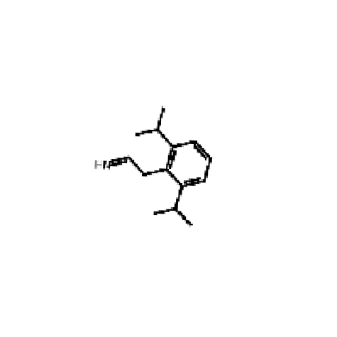 CC(C)c1cccc(C(C)C)c1CC=N